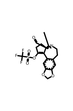 CC1=C(C=O)C23CCC(OS(=O)(=O)C(F)(F)F)=C2c2cc4c(cc2CCN3C1)OCO4